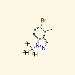 [2H]C([2H])([2H])n1ncc2c(C)c(Br)ccc21